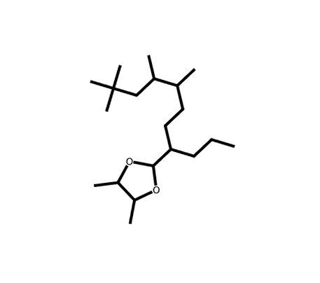 CCCC(CCC(C)C(C)CC(C)(C)C)C1OC(C)C(C)O1